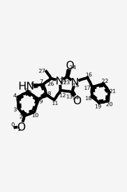 COc1ccc2[nH]c3c(c2c1)CC1C(=O)N(Cc2ccccc2)C(=O)N1C3C